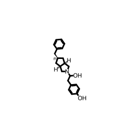 Oc1ccc(CC(O)N2C[C@H]3C[C@@H](Cc4ccccc4)C[C@H]3C2)cc1